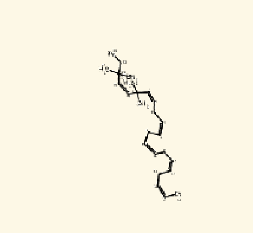 BC(B)(/C=C\C/C=C\C/C=C\C/C=C\C/C=C\CC)/C=C\C(B)(B)CC(C)C